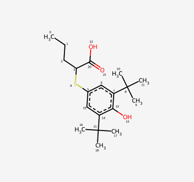 CCCC(Sc1cc(C(C)(C)C)c(O)c(C(C)(C)C)c1)C(=O)O